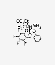 CCOC(=O)[C@H](C)N([SiH3])P(=O)(Oc1ccccc1)Oc1c(F)c(F)c(F)c(F)c1F